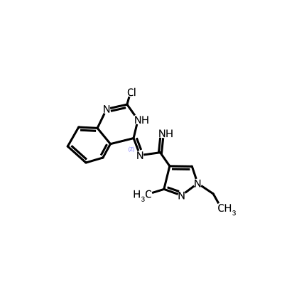 CCn1cc(C(=N)/N=c2\[nH]c(Cl)nc3ccccc23)c(C)n1